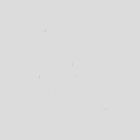 Oc1ccc2cc(-c3cc(-c4cc5ccc(O)cc5cc4O)c(F)cc3F)c(O)cc2c1